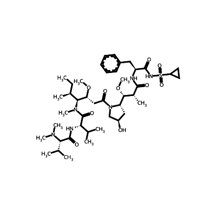 CC[C@H](C)[C@@H]([C@@H](CC(=O)N1C[C@H](O)C[C@H]1[C@H](OC)[C@@H](C)C(=O)N[C@@H](Cc1ccccc1)C(=O)NS(=O)(=O)C1CC1)OC)N(C)C(=O)[C@@H](NC(=O)[C@H](C(C)C)N(C)C)C(C)C